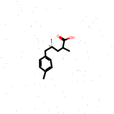 Cc1ccc(C[C@H](C)CC(C)C(=O)O)cc1